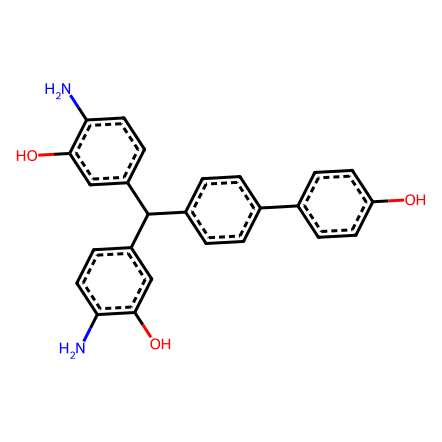 Nc1ccc(C(c2ccc(-c3ccc(O)cc3)cc2)c2ccc(N)c(O)c2)cc1O